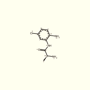 C[C@H](N)C(=O)Nc1cc(Cl)ccc1N